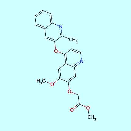 COC(=O)COc1cc2nccc(Oc3cc4ccccc4nc3C)c2cc1OC